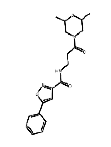 CC1CN(C(=O)CCNC(=O)c2cc(-c3ccccc3)on2)CC(C)O1